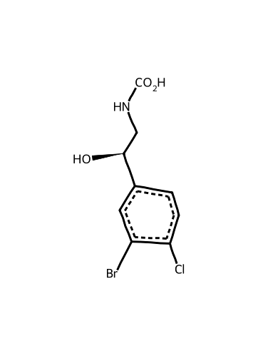 O=C(O)NC[C@H](O)c1ccc(Cl)c(Br)c1